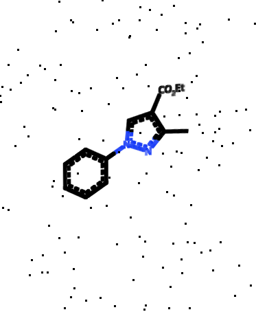 CCOC(=O)c1cn(-c2ccccc2)nc1C